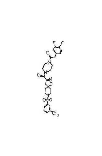 O=C(Cc1ccc(F)c(F)c1)N1CCN(C(=O)C2=NOC3(CCN(S(=O)(=O)c4cccc(C(F)(F)F)c4)CC3)C2)CC1